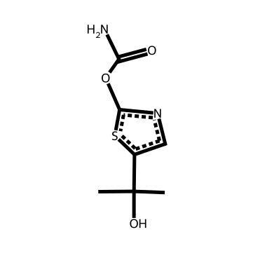 CC(C)(O)c1cnc(OC(N)=O)s1